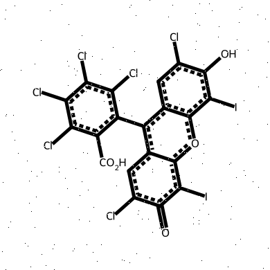 O=C(O)c1c(Cl)c(Cl)c(Cl)c(Cl)c1-c1c2cc(Cl)c(=O)c(I)c-2oc2c(I)c(O)c(Cl)cc12